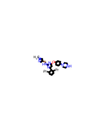 CC(C)c1cccc(C(C)C)c1-c1cc(Oc2ccc(N3CCNCC3)cc2)nc(NSc2cnn(C)c2)n1